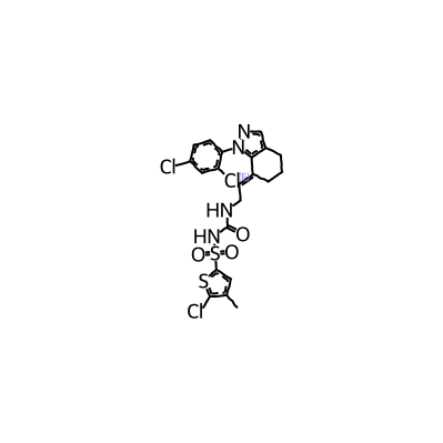 Cc1cc(S(=O)(=O)NC(=O)NC/C=C2\CCCc3cnn(-c4ccc(Cl)cc4Cl)c32)sc1Cl